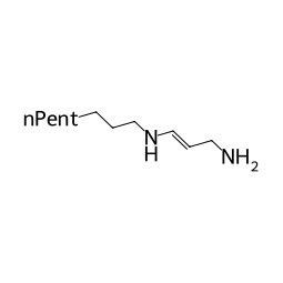 CCCCCCCCNC=CCN